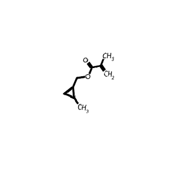 C=C(C)C(=O)OCC1CC1C